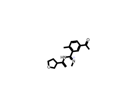 C=C(N/C(=N\C)c1cc(C(C)=O)ccc1C)C1CCOC1